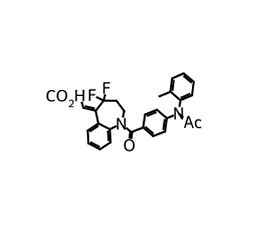 CC(=O)N(c1ccc(C(=O)N2CCC(F)(F)C(=CC(=O)O)c3ccccc32)cc1)c1ccccc1C